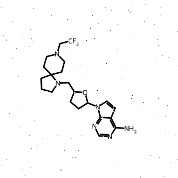 Nc1ncnc2c1ccn2C1CCC(CN2CCCC23CCN(CC(F)(F)F)CC3)O1